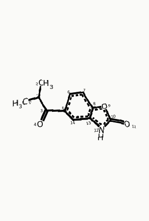 CC(C)C(=O)c1ccc2oc(=O)[nH]c2c1